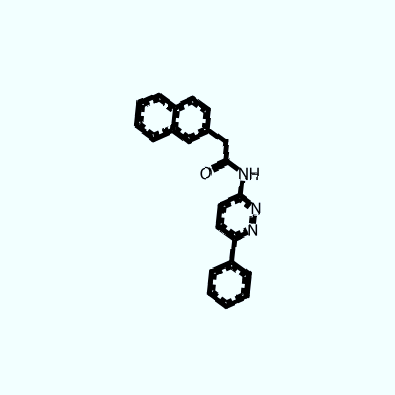 O=C(Cc1ccc2ccccc2c1)Nc1ccc(-c2ccccc2)nn1